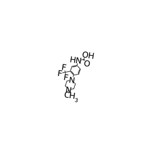 CN1CCN(c2ccc(NC(=O)O)cc2C(F)(F)F)CC1